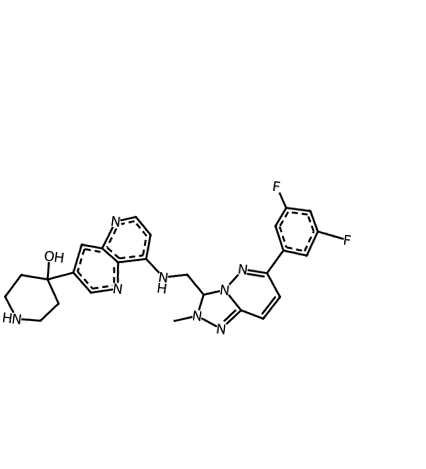 CN1N=C2C=CC(c3cc(F)cc(F)c3)=NN2C1CNc1ccnc2cc(C3(O)CCNCC3)cnc12